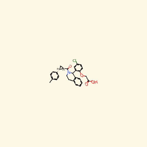 Cc1ccc([C@@H]2C[C@H]2C(=O)N2CCc3ccccc3C2c2cc(Cl)ccc2OCC(=O)O)cc1